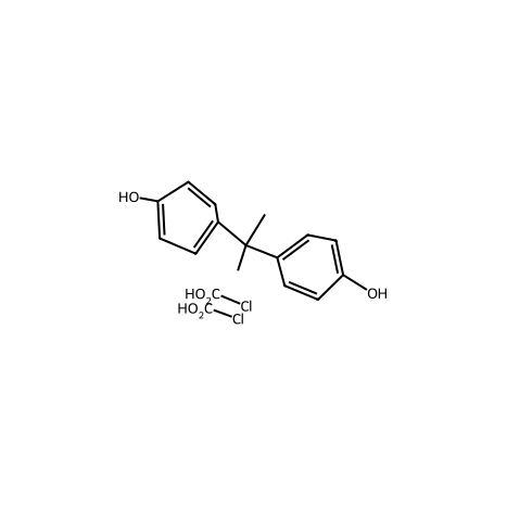 CC(C)(c1ccc(O)cc1)c1ccc(O)cc1.O=C(O)Cl.O=C(O)Cl